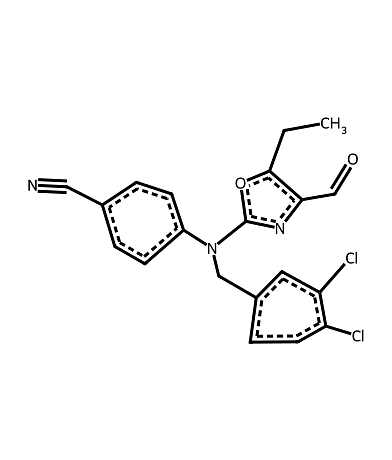 CCc1oc(N(Cc2ccc(Cl)c(Cl)c2)c2ccc(C#N)cc2)nc1C=O